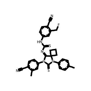 Cc1ccc(N2C(=S)N(c3ccc(C#N)c(C)c3)C(=NC(=S)Nc3ccc(C#N)c(CF)c3)C23CCC3)cc1